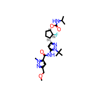 COCc1cc(C(=O)Nc2cc([C@@H]3CC[C@H](OC(=O)NC(C)C)[C@H]3F)nn2C(C)(C)C)n(C)n1